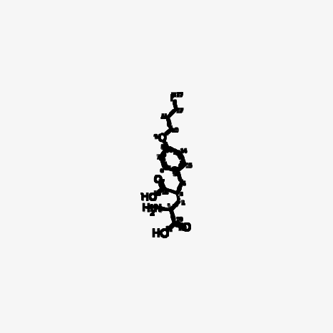 N[C@@H](C[C@@H](Cc1ccc(OCCCF)cc1)C(=O)O)C(=O)O